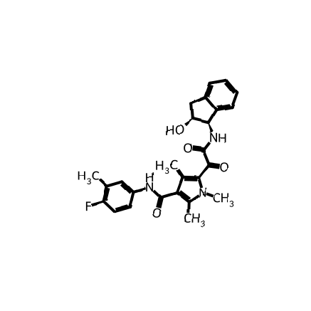 Cc1cc(NC(=O)c2c(C)c(C(=O)C(=O)N[C@@H]3c4ccccc4C[C@@H]3O)n(C)c2C)ccc1F